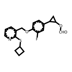 O=COC1CC1c1ccc(OCc2cccnc2SC2CCC2)c(F)c1